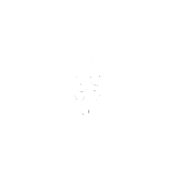 Cc1cc(C2OCCO2)c(C)n1-c1ccc(F)[c]([Ti]([C]2=CC=CC2)([C]2=CC=CC2)[c]2c(F)ccc(-n3c(C)cc(C4OCCO4)c3C)c2F)c1F